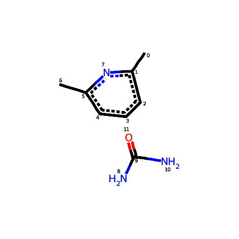 Cc1cccc(C)n1.NC(N)=O